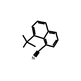 CC(C)(C)c1cccc2cccc(C#N)c12